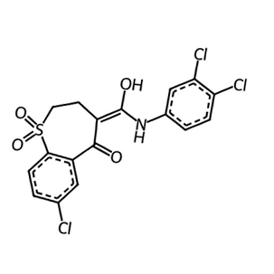 O=C1C(=C(O)Nc2ccc(Cl)c(Cl)c2)CCS(=O)(=O)c2ccc(Cl)cc21